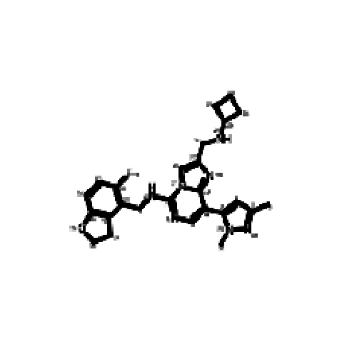 Cc1cc(-c2cnc(NCc3c(F)ccc4c3CCO4)n3cc(CNC4CCC4)nc23)n(C)n1